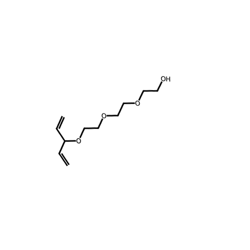 C=CC(C=C)OCCOCCOCCO